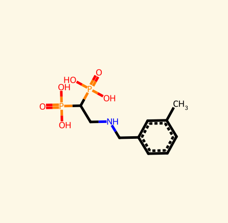 Cc1cccc(CNCC(P(=O)(O)O)P(=O)(O)O)c1